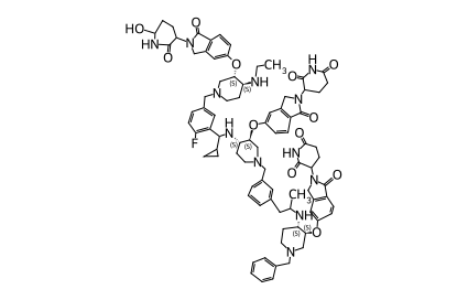 CCN[C@H]1CCN(Cc2ccc(F)c(C(N[C@H]3CCN(Cc4cccc(CC(C)N[C@H]5CCN(Cc6ccccc6)C[C@@H]5Oc5ccc6c(c5)CN(C5CCC(=O)NC5=O)C6=O)c4)C[C@@H]3Oc3ccc4c(c3)CN(C3CCC(=O)NC3=O)C4=O)C3CC3)c2)C[C@@H]1Oc1ccc2c(c1)CN(C1CCC(O)NC1=O)C2=O